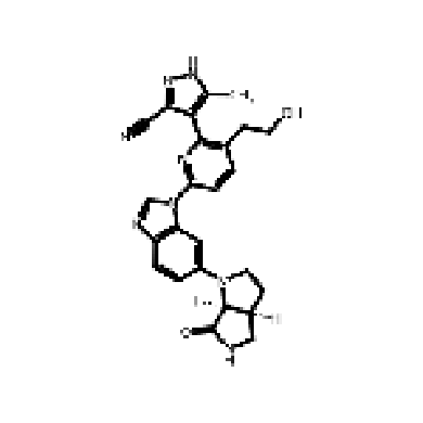 Cc1[nH]nc(C#N)c1-c1nc(-n2cnc3ccc(N4CC[C@H]5CNC(=O)[C@H]54)cc32)ccc1CCO